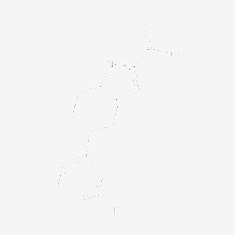 O=C(O)c1cn2c(n1)CCC(c1cccc(F)c1)C2